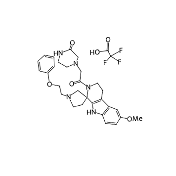 COc1ccc2[nH]c3c(c2c1)CCN(C(=O)CN1CCNC(=O)C1)C31CCN(CCOc2ccccc2)C1.O=C(O)C(F)(F)F